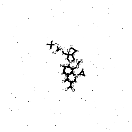 CC(C)(C)OC(=O)NCC12CN(c3c(F)cc4c(=O)c(C(=O)O)cn(C5CC5)c4c3OC(F)F)CC1CCO2